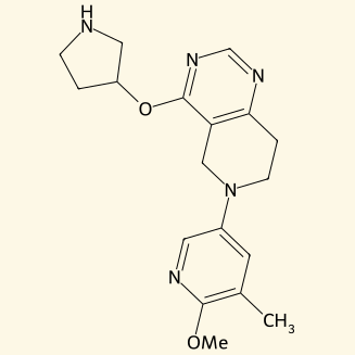 COc1ncc(N2CCc3ncnc(OC4CCNC4)c3C2)cc1C